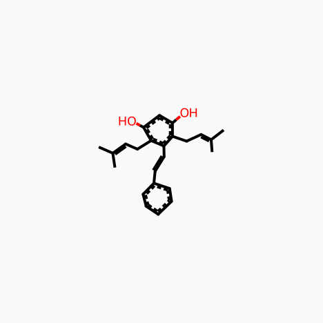 CC(C)=CCc1c(O)cc(O)c(CC=C(C)C)c1/C=C/c1ccccc1